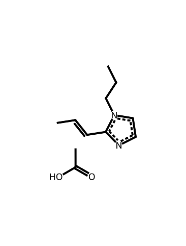 CC(=O)O.CC=Cc1nccn1CCC